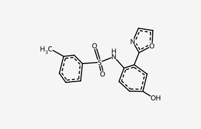 Cc1cccc(S(=O)(=O)Nc2ccc(O)cc2-c2ncco2)c1